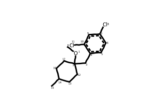 COC1(Cc2ccc(Cl)cc2Cl)CCC(C)CC1